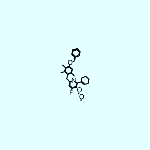 COCOc1c(F)cc(Cc2c(C)cc(OCc3ccccc3)c(C)c2C)nc1C1=CCCCC1